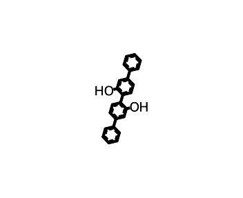 Oc1cc(-c2ccccc2)ccc1-c1ccc(-c2ccccc2)cc1O